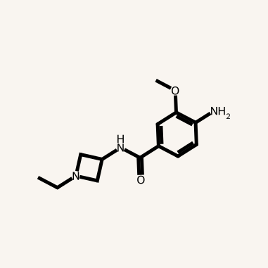 CCN1CC(NC(=O)c2ccc(N)c(OC)c2)C1